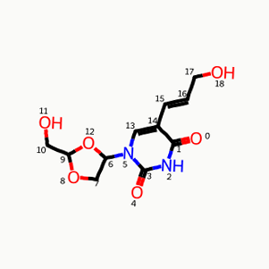 O=c1[nH]c(=O)n(C2COC(CO)O2)cc1C=CCO